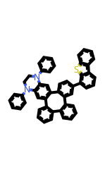 c1ccc(N2CCN(c3ccccc3)c3cc4c(cc32)-c2ccccc2-c2ccccc2-c2cc(-c3cccc5c3sc3ccccc35)ccc2-4)cc1